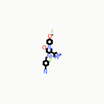 Cn1cc(-c2cn(-c3ccc(OCF)cc3)c(=O)cc2NCc2ccc(C#N)cc2F)cn1